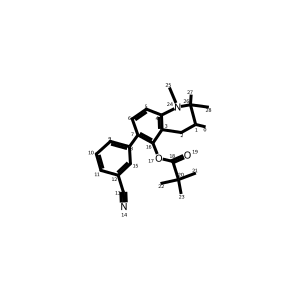 CC1Cc2c(ccc(-c3cccc(C#N)c3)c2OC(=O)C(C)(C)C)N(C)C1(C)C